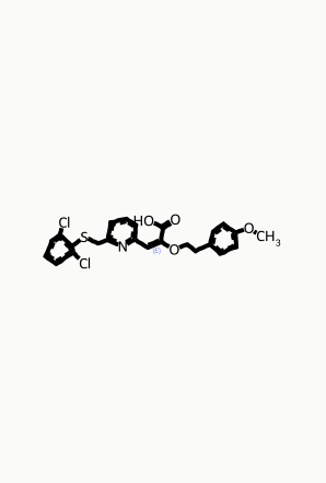 COc1ccc(CCO/C(=C/c2cccc(CSc3c(Cl)cccc3Cl)n2)C(=O)O)cc1